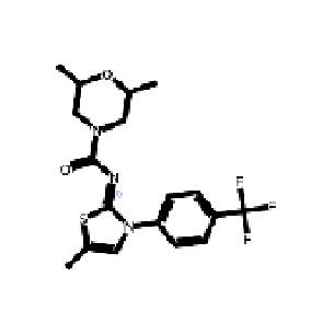 Cc1cn(-c2ccc(C(F)(F)F)cc2)/c(=N/C(=O)N2CC(C)OC(C)C2)s1